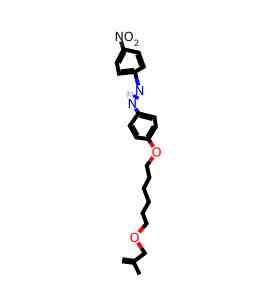 C=C(C)COCCCCCCOc1ccc(/N=N/c2ccc([N+](=O)[O-])cc2)cc1